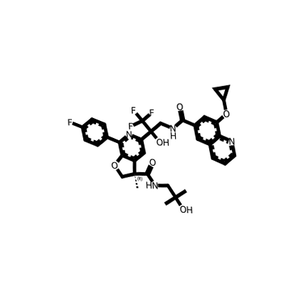 CC(C)(O)CNC(=O)[C@@]1(C)COc2c1cc(C(O)(CNC(=O)c1cc(OC3CC3)c3ncccc3c1)C(F)(F)F)nc2-c1ccc(F)cc1